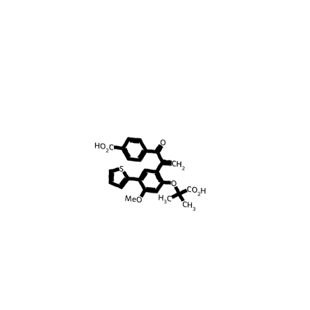 C=C(C(=O)c1ccc(C(=O)O)cc1)c1cc(-c2cccs2)c(OC)cc1OC(C)(C)C(=O)O